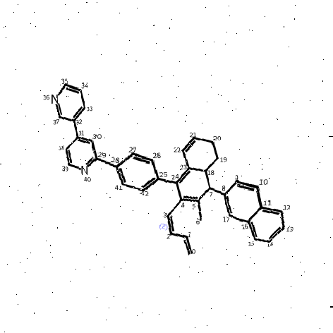 C=C/C=C\C1=C(C)C(c2ccc3ccccc3c2)C2CCC=CC2=C1c1ccc(-c2cc(-c3cccnc3)ccn2)cc1